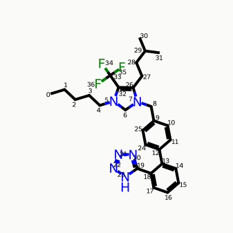 CCCCCN1CN(Cc2ccc(-c3ccccc3-c3nnn[nH]3)cc2)C(CCC(C)C)=C1C(F)(F)F